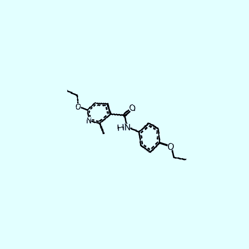 CCOc1ccc(NC(=O)c2ccc(OCC)nc2C)cc1